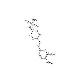 COc1ccc(NCC2CCC(NS(=O)(=O)C(C)(C)C)CC2)cc1Cl